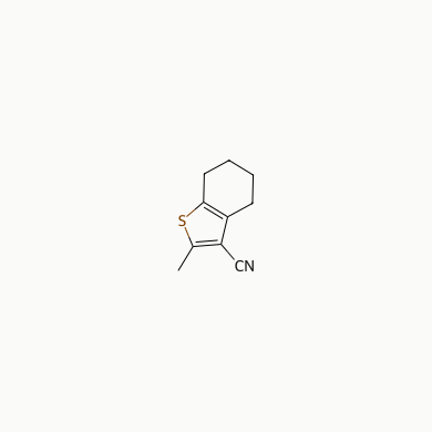 Cc1sc2c(c1C#N)CCCC2